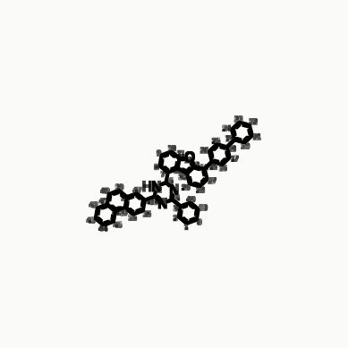 c1ccc(C2=NC(c3cccc4oc5c(-c6ccc(-c7ccccc7)cc6)cccc5c34)NC(c3ccc4c(ccc5ccccc54)c3)=N2)cc1